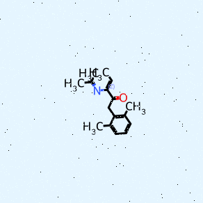 C/C=C(\N=C(C)C)C(=O)Cc1c(C)cccc1C